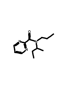 CCCN(C(=O)c1ncccn1)C(C)CC